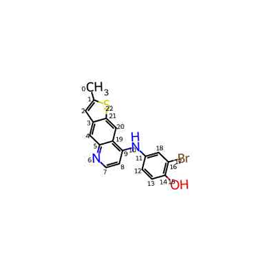 Cc1cc2cc3nccc(Nc4ccc(O)c(Br)c4)c3cc2s1